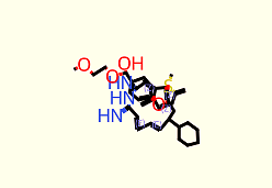 C=C(/C=C\C(=C)C1=C\C(=N)NC(=N)/C=C/C=C/C(C2CCCCC2)C\C(Oc2ccc(C(O)OCCOC)cc2)=C\1)SC